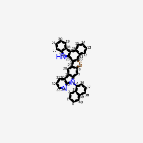 c1ccc2c(-n3c4cc5sc6c7ccccc7c7c8ccccc8[nH]c7c6c5cc4c4cccnc43)cccc2c1